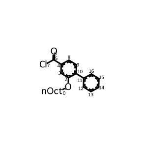 CCCCCCCCOc1cc(C(=O)Cl)ccc1-c1ccccc1